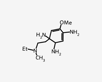 CCN(C)CCC1(N)C=C(OC)C(N)=CC1N